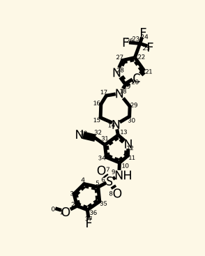 COc1ccc(S(=O)(=O)Nc2cnc(N3CCCN(c4ccc(C(F)(F)F)cn4)CC3)c(C#N)c2)cc1F